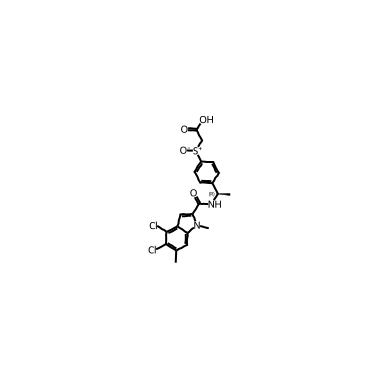 Cc1cc2c(cc(C(=O)N[C@H](C)c3ccc([S+]([O-])CC(=O)O)cc3)n2C)c(Cl)c1Cl